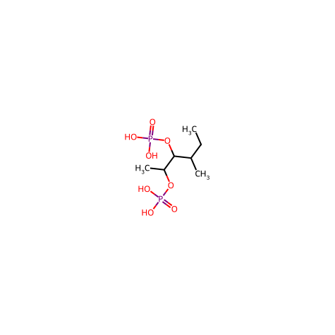 CCC(C)C(OP(=O)(O)O)C(C)OP(=O)(O)O